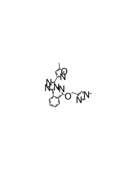 Cc1cc(-c2nnc3c4ccccc4c(OCc4cn(C)cn4)nn23)no1